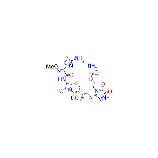 CON=C(C(=O)NC1C(=O)N2C(C(=O)O)=C(C=CSc3n[nH]c(=O)c(=O)n3CCOC(=O)CN)CSC12)c1csc(N)n1